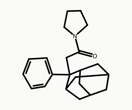 O=C(CC1(c2ccccc2)C2CC3CC(C2)CC1C3)N1CCCC1